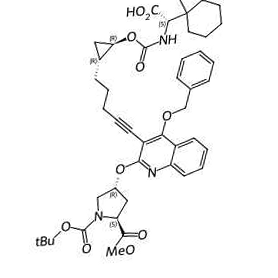 COC(=O)[C@@H]1C[C@@H](Oc2nc3ccccc3c(OCc3ccccc3)c2C#CCCC[C@@H]2C[C@H]2OC(=O)N[C@H](C(=O)O)C2(C)CCCCC2)CN1C(=O)OC(C)(C)C